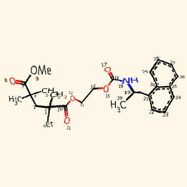 CCC(C)(CC(C)(C)C(=O)OC)C(=O)OCCOC(=O)NC(C)c1cccc2ccccc12